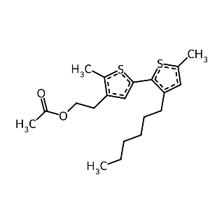 CCCCCCc1cc(C)sc1-c1cc(CCOC(C)=O)c(C)s1